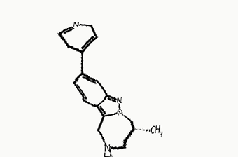 C[C@@H]1CNCc2c3ccc(C4=CCN=CC4)cc3nn21